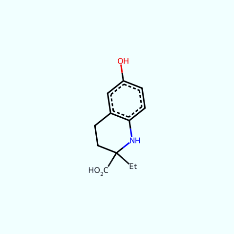 CCC1(C(=O)O)CCc2cc(O)ccc2N1